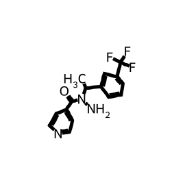 CC(c1cccc(C(F)(F)F)c1)N(N)C(=O)c1ccncc1